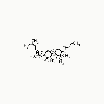 CCCC(=O)OC1CC[C@]2(C)C3=C(CCC2C1(C)C)[C@]1(C)CC[C@H]([C@H](C)CCC=C(C)C)[C@@]1(C)CC3